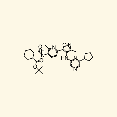 Cc1nc(-c2onc(C)c2Nc2cncc(C3CCCC3)n2)ccc1NC(=O)[C@H]1CCCC[C@@H]1C(=O)OC(C)(C)C